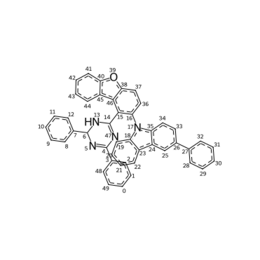 c1ccc(C2=NC(c3ccccc3)NC(c3c(-n4c5ccccc5c5cc(-c6ccccc6)ccc54)ccc4oc5ccccc5c34)=N2)cc1